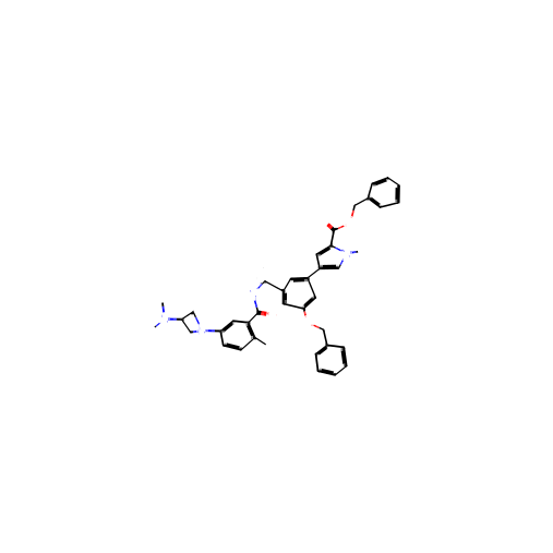 Cc1ccc(N2CC(N(C)C)C2)cc1C(=O)N[C@H](C)c1cc(OCc2ccccc2)cc(-c2cc(C(=O)OCc3ccccc3)n(C)c2)c1